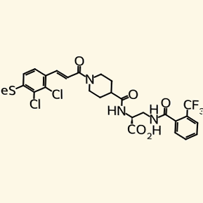 CSc1ccc(/C=C/C(=O)N2CCC(C(=O)N[C@@H](CNC(=O)c3ccccc3C(F)(F)F)C(=O)O)CC2)c(Cl)c1Cl